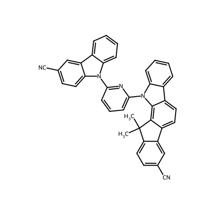 CC1(C)c2ccc(C#N)cc2-c2ccc3c4ccccc4n(-c4cccc(-n5c6ccccc6c6cc(C#N)ccc65)n4)c3c21